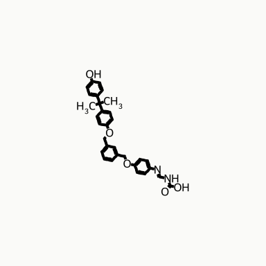 CC(C)(c1ccc(O)cc1)c1ccc(OCc2cccc(COc3ccc(N=CNC(=O)O)cc3)c2)cc1